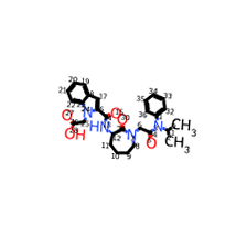 CC(C)N(C(=O)CN1CCCC[C@@H](NC(=O)c2cc3ccccc3n2CC(=O)O)C1=O)c1ccccc1